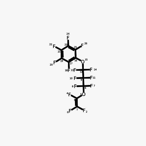 FC(F)=C(F)OC(F)(F)C(F)(F)C(F)(F)Oc1c(F)c(F)c(F)c(F)c1F